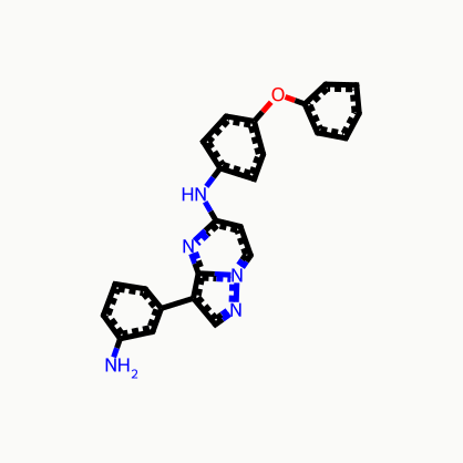 Nc1cccc(-c2cnn3ccc(Nc4ccc(Oc5ccccc5)cc4)nc23)c1